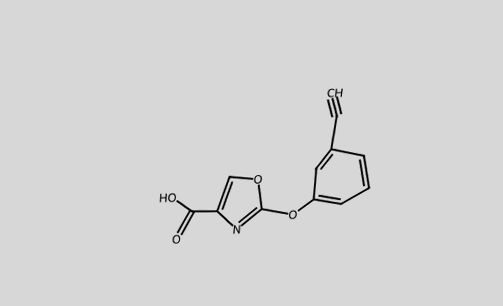 C#Cc1cccc(Oc2nc(C(=O)O)co2)c1